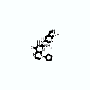 NC1(Nc2cnc3[nH]ncc3c2)N=C2C(=NC=CN2C2CCCC2)C(=O)N1